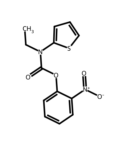 CCN(C(=O)Oc1ccccc1[N+](=O)[O-])c1cccs1